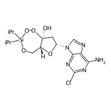 CC(C)[Si]1(C(C)C)OC[C@H]2O[C@@H](n3cnc4c(N)nc(Cl)nc43)C[C@]2(O)OO1